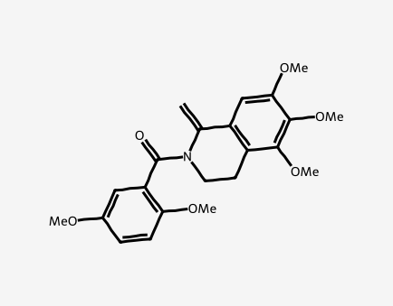 C=C1c2cc(OC)c(OC)c(OC)c2CCN1C(=O)c1cc(OC)ccc1OC